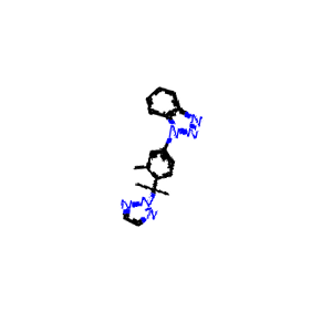 Cc1cc(-n2nnc3ccccc32)ccc1C(C)(C)n1nccn1